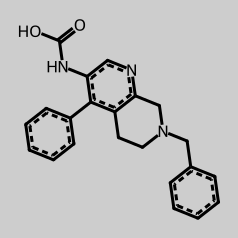 O=C(O)Nc1cnc2c(c1-c1ccccc1)CCN(Cc1ccccc1)C2